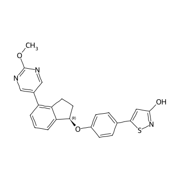 COc1ncc(-c2cccc3c2CC[C@H]3Oc2ccc(-c3cc(O)ns3)cc2)cn1